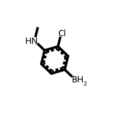 Bc1ccc(NC)c(Cl)c1